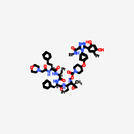 CCNC(=O)c1nnc(-c2cc(C(C)C)c(O)cc2O)n1-c1ccc(OC2CCN(C(=O)O/N=C(/[C@H](CC(C)C)NC(=O)[C@H](Cc3ccccc3)NC(=O)[C@H](CC(C)C)NC(=O)[C@H](CCc3ccccc3)NC(=O)CN3CCOCC3)[C@@]3(C)CO3)CC2)cc1